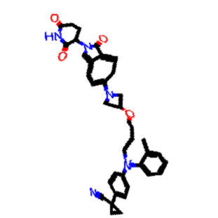 Cc1ccccc1N(CCCOC1CN(C2=CC=C3CN(C4CCC(=O)NC4=O)C(=O)C3=CC2)C1)c1ccc(C2(C#N)CC2)cc1